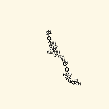 Cc1ncsc1-c1ccc([C@H](C)NC(=O)[C@@H]2CCCN2C(=O)[C@@H](NC(=O)COCCNc2ccc(-c3ccc(C(=O)N[C@H]4C(C)(C)[C@H](Oc5ccc(C#N)c(Cl)c5)C4(C)C)cc3)cn2)C(C)(C)C)cc1